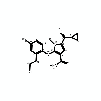 C=C(N)c1cc(C(=O)C2CC2)n(C)c1Nc1ccc(I)cc1CCC